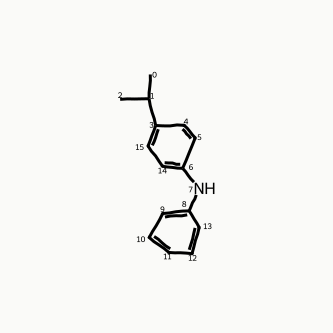 CC(C)c1ccc(Nc2ccccc2)cc1